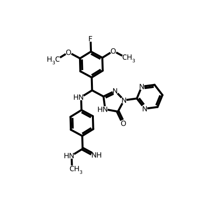 CNC(=N)c1ccc(NC(c2cc(OC)c(F)c(OC)c2)c2nn(-c3ncccn3)c(=O)[nH]2)cc1